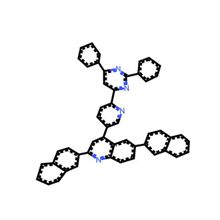 c1ccc(-c2cc(-c3ccc(-c4cc(-c5ccc6ccccc6c5)nc5ccc(-c6ccc7ccccc7c6)cc45)cn3)nc(-c3ccccc3)n2)cc1